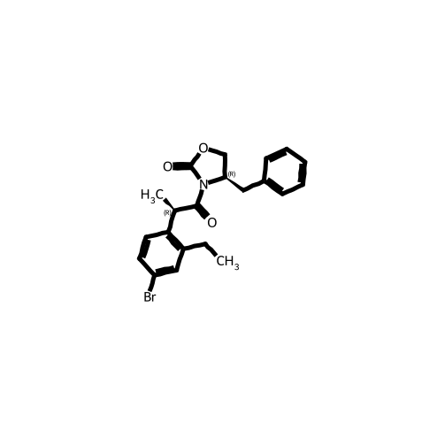 CCc1cc(Br)ccc1[C@@H](C)C(=O)N1C(=O)OC[C@H]1Cc1ccccc1